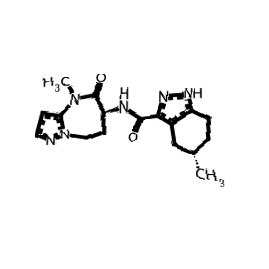 C[C@H]1CCc2[nH]nc(C(=O)N[C@H]3CCn4nccc4N(C)C3=O)c2C1